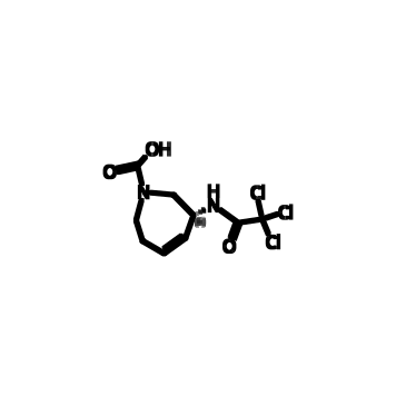 O=C(O)N1CCC=C[C@@H](NC(=O)C(Cl)(Cl)Cl)C1